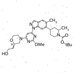 COc1nc(N2CCO[C@H](CCO)C2)cc(-n2ncc3cc(C)c(C4CCN(C(=O)OC(C)(C)C)C(C)C4)cc32)n1